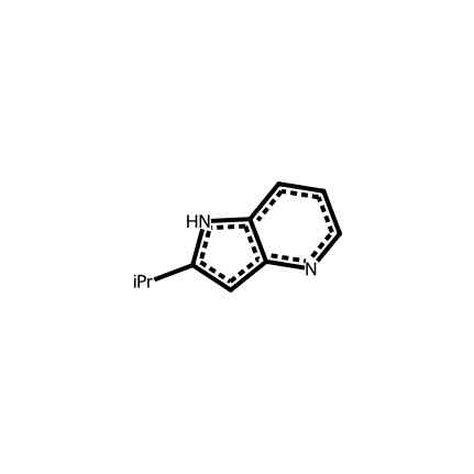 CC(C)c1cc2ncccc2[nH]1